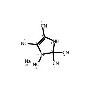 N#CC1=C(C#N)N(C#N)C(C#N)(C#N)N1.[Na]